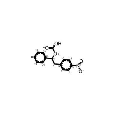 O=C(O)OC(Cc1ccc([N+](=O)[O-])cc1)c1ccccc1